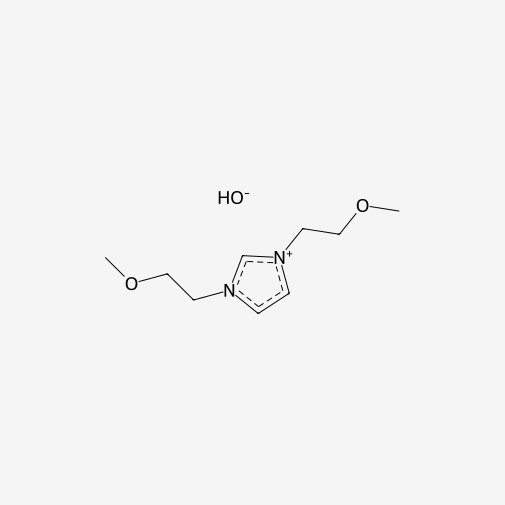 COCCn1cc[n+](CCOC)c1.[OH-]